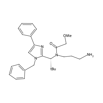 COCC(=O)N(CCCN)[C@@H](c1nc(-c2ccccc2)cn1Cc1ccccc1)C(C)(C)C